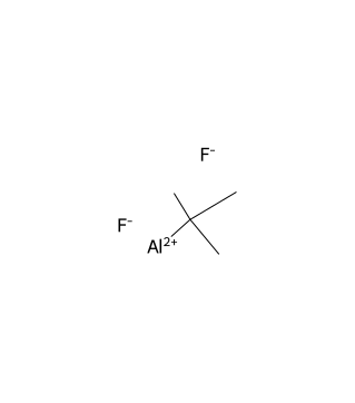 C[C](C)(C)[Al+2].[F-].[F-]